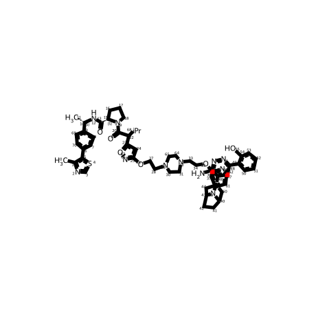 Cc1ncsc1-c1ccc([C@H](C)NC(=O)[C@@H]2CCCN2C(=O)C(c2cc(OCCN3CCN(CCOc4cc(N5C6CCC5CN(c5cc(-c7ccccc7O)nnc5N)C6)ccn4)CC3)no2)C(C)C)cc1